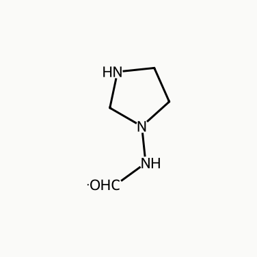 O=[C]NN1CCNC1